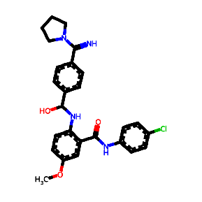 COc1ccc(NC(O)c2ccc(C(=N)N3CCCC3)cc2)c(C(=O)Nc2ccc(Cl)cc2)c1